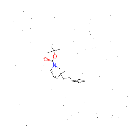 C=C=CCC(C)C1(C)CCCN(C(=O)OC(C)(C)C)C1